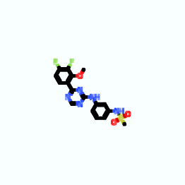 COc1c(-c2ncnc(Nc3cccc(NS(C)(=O)=O)c3)n2)ccc(F)c1F